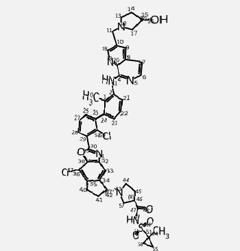 Cc1c(Nc2nccc3cc(CN4CC[C@@H](O)C4)cnc23)cccc1-c1cccc(-c2nc3cc4c(c(Cl)c3o2)CC[C@H]4N2CC[C@@H](C(=O)NS(=O)(=O)C3(C)CC3)C2)c1Cl